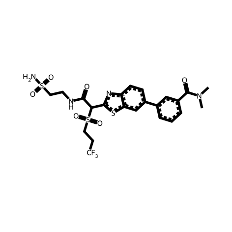 CN(C)C(=O)c1cccc(-c2ccc3nc(C(C(=O)NCCS(N)(=O)=O)S(=O)(=O)CCC(F)(F)F)sc3c2)c1